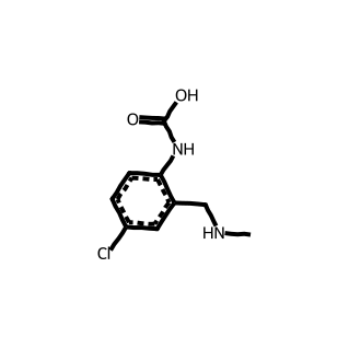 CNCc1cc(Cl)ccc1NC(=O)O